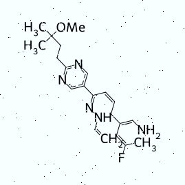 C=CN/N=C(\C=C/CC(=C/N)/C=C(\C)F)c1cnc(CCC(C)(C)OC)nc1